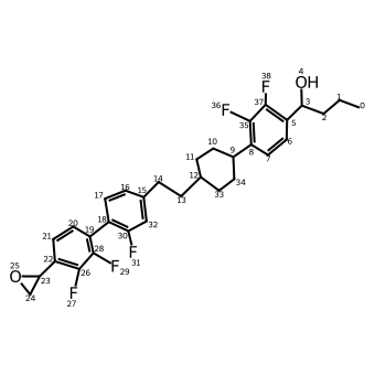 CCCC(O)c1ccc(C2CCC(CCc3ccc(-c4ccc(C5CO5)c(F)c4F)c(F)c3)CC2)c(F)c1F